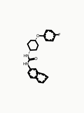 O=C(Nc1ccc2ccccc2c1)N[C@H]1CC[C@@H](Oc2ccc(F)cc2)CC1